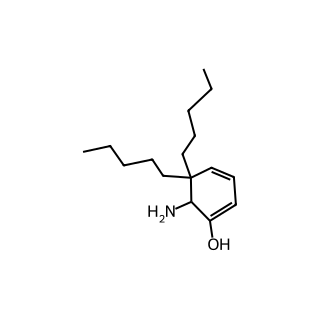 CCCCCC1(CCCCC)C=CC=C(O)C1N